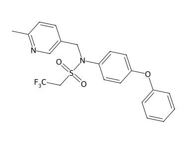 Cc1ccc(CN(c2ccc(Oc3ccccc3)cc2)S(=O)(=O)CC(F)(F)F)cn1